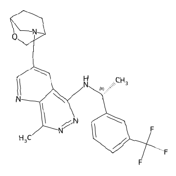 Cc1nnc(N[C@H](C)c2cccc(C(F)(F)F)c2)c2cc(N3CC4CCC3CO4)cnc12